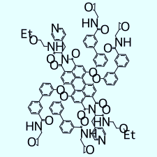 CCOCCNC(=O)C(Cc1ccncc1)N1C(=O)c2cc(Oc3cccc(-c4cccc(C(=O)NCC5CO5)c4)c3)c3c4c(Oc5cccc(-c6cccc(C(=O)NCC7CO7)c6)c5)cc5c6c(cc(Oc7cccc(-c8cccc(C(=O)NCC9CO9)c8)c7)c(c7c(Oc8cccc(-c9cccc(C(=O)NCC%10CO%10)c9)c8)cc(c2c37)C1=O)c64)C(=O)N(C(Cc1ccncc1)C(=O)NCCOCC)C5=O